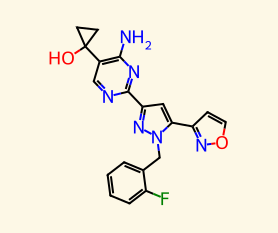 Nc1nc(-c2cc(-c3ccon3)n(Cc3ccccc3F)n2)ncc1C1(O)CC1